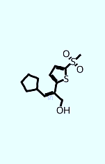 CS(=O)(=O)c1ccc(/C(=C\C2CCCC2)CO)s1